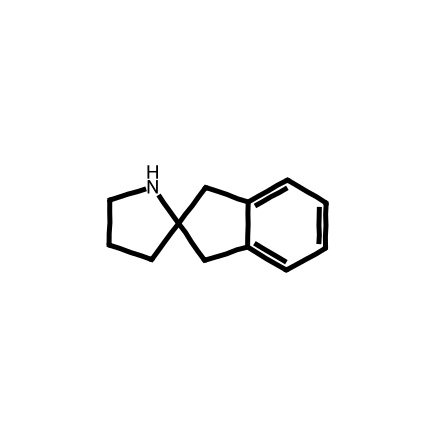 c1ccc2c(c1)CC1(CCCN1)C2